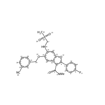 CNC(=O)c1c(-c2ccc(F)cc2)oc2cc(NCS(C)(=O)=O)c(OCc3cccc(C#N)c3)cc12